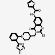 CCc1nc2ccc(NC(=O)c3cccs3)cc2c(=O)n1CC1CCN(c2ccccc2-c2nn[nH]n2)CC1